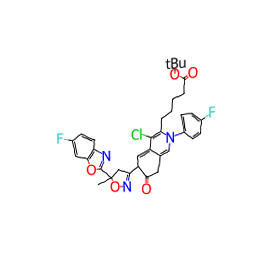 CC(C)(C)OC(=O)CCCCC1=C(Cl)C2=CC(C3=NOC(C)(c4nc5ccc(F)cc5o4)C3)C(=O)CC2=CN1c1ccc(F)cc1